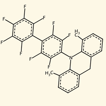 Cc1cccc2c1N(c1c(F)c(F)c(-c3c(F)c(F)c(F)c(F)c3F)c(F)c1F)c1c(C)cccc1C2